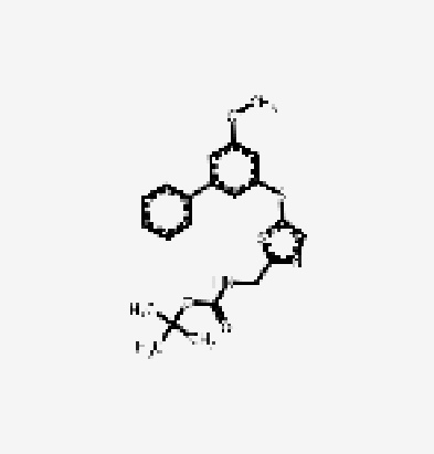 COc1cc(Sc2cnc(CNC(=O)OC(C)(C)C)s2)cc(-c2ccccc2)c1